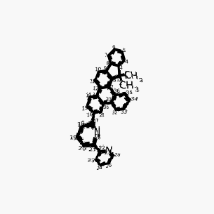 CC1(C)c2ccccc2-c2ccc3c4ccc(-c5cccc(-c6ccccn6)n5)cc4c4ccccc4c3c21